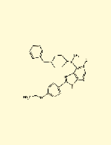 CN(c1c(Cl)cnc2[nH]c(-c3ccc(OCC(=O)O)cc3)nc12)C1CCN(Cc2ccccc2)CC1